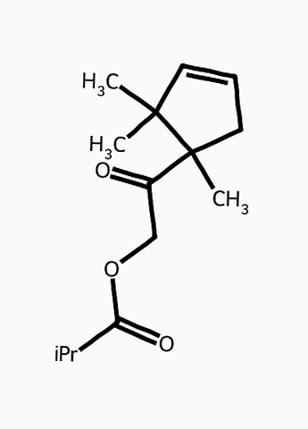 CC(C)C(=O)OCC(=O)C1(C)CC=CC1(C)C